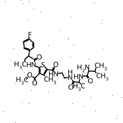 CCC(C(=O)Nc1sc(C(=O)NCCNC(=O)C(C)NC(=O)C(N)C(C)C)c(C)c1C(=O)OC)c1ccc(F)cc1